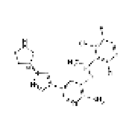 C[C@@H](Oc1cc(-c2cnn([C@H]3CCNC3)c2)cnc1N)c1c(Cl)ccc(F)c1Cl